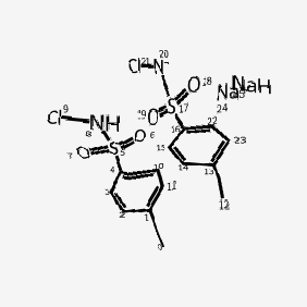 Cc1ccc(S(=O)(=O)NCl)cc1.Cc1ccc(S(=O)(=O)[N-]Cl)cc1.[Na+].[NaH]